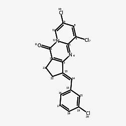 O=c1c2c(nc3c(Cl)cc(Cl)cn13)C(=Cc1cccc(Cl)c1)CC2